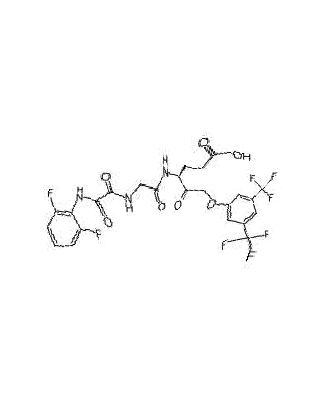 O=C(O)CC[C@H](NC(=O)CNC(=O)C(=O)Nc1c(F)cccc1F)C(=O)COc1cc(C(F)(F)F)cc(C(F)(F)F)c1